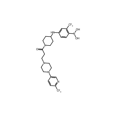 O=C(CCN1CCN(c2ccc(C(F)(F)F)nc2)CC1)N1CCC(Nc2ccc(N(O)O)c(C(F)(F)F)c2)CC1